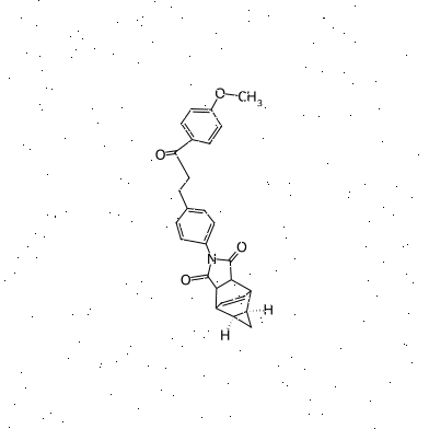 COc1ccc(C(=O)CCc2ccc(N3C(=O)C4C(C3=O)C3C=CC4[C@H]4C[C@@H]34)cc2)cc1